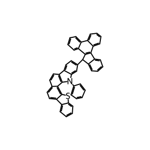 c1ccc(-n2c3cc(C4c5ccccc5-c5c4c4ccccc4c4ccccc54)ccc3c3ccc4ccc5c6ccccc6sc5c4c32)cc1